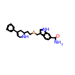 NC(=O)c1ccc2c(CSCCC3CC(c4ccccc4)=CCN3)c[nH]c2c1